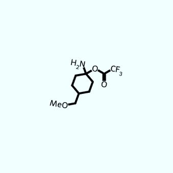 COCC1CCC(N)(OC(=O)C(F)(F)F)CC1